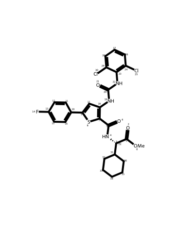 COC(=O)[C@@H](NC(=O)c1sc(-c2ccc(F)cc2)cc1NC(=O)Nc1c(Cl)cccc1Cl)C1CCCCC1